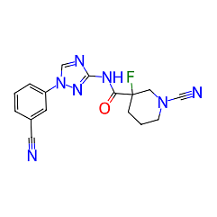 N#Cc1cccc(-n2cnc(NC(=O)C3(F)CCCN(C#N)C3)n2)c1